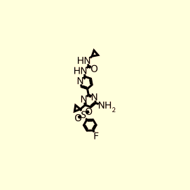 Nc1cc(C2(S(=O)(=O)c3ccc(F)cc3)CC2)nc(-c2ccc(NC(=O)NC3CC3)nc2)n1